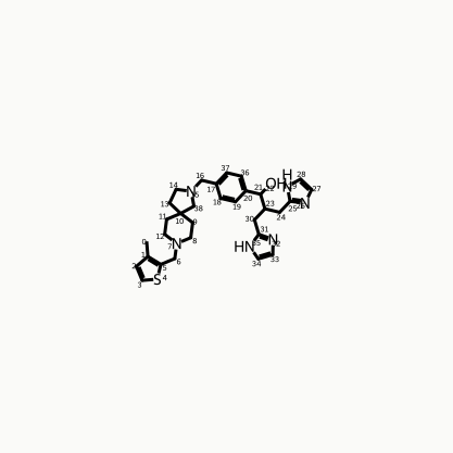 Cc1ccsc1CN1CCC2(CC1)CCN(Cc1ccc(C(O)C(Cc3ncc[nH]3)Cc3ncc[nH]3)cc1)C2